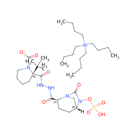 CC(C)(C)[C@@]1(C(=O)NNC(=O)[C@@H]2CC[C@@H]3CN2C(=O)N3OS(=O)(=O)O)CCCCN1C(=O)[O-].CCCC[N+](CCCC)(CCCC)CCCC